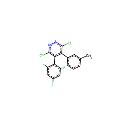 Cc1cccc(-c2c(Cl)nnc(Cl)c2-c2c(F)cc(F)cc2F)c1